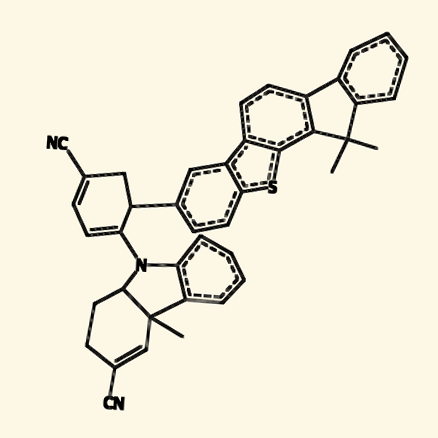 CC1(C)c2ccccc2-c2ccc3c(sc4ccc(C5CC(C#N)=CC=C5N5c6ccccc6C6(C)C=C(C#N)CCC56)cc43)c21